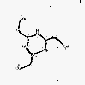 CC(C)(C)CB1NB(CC(C)(C)C)NB(CC(C)(C)C)N1